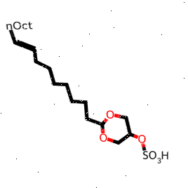 CCCCCCCCC=CCCCCCCCC1OCC(OS(=O)(=O)O)CO1